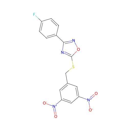 O=[N+]([O-])c1cc(CSc2nc(-c3ccc(F)cc3)no2)cc([N+](=O)[O-])c1